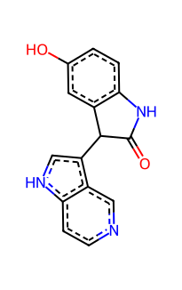 O=C1Nc2ccc(O)cc2C1c1c[nH]c2ccncc12